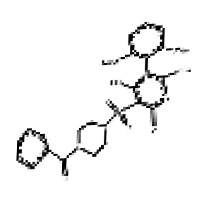 CCCCc1nc(=O)c(S(=O)(=O)C2CCN(C(=O)c3ccccc3)CC2)c(O)n1-c1c(OC)cccc1OC